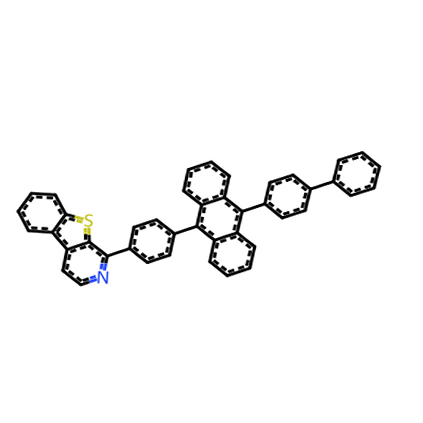 c1ccc(-c2ccc(-c3c4ccccc4c(-c4ccc(-c5nccc6c5sc5ccccc56)cc4)c4ccccc34)cc2)cc1